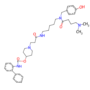 CN(C)CCCC(=O)N(CCCCCNC(=O)CCN1CCC(OC(=O)Nc2ccccc2-c2ccccc2)CC1)Cc1ccc(O)cc1